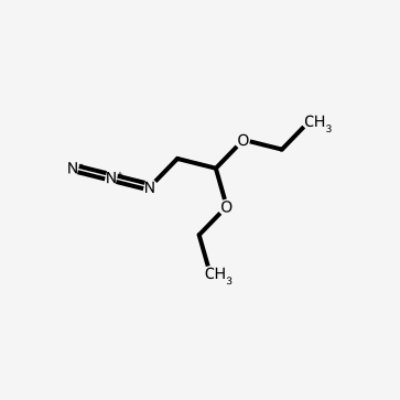 CCOC(CN=[N+]=[N-])OCC